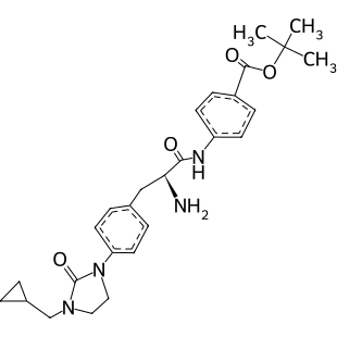 CC(C)(C)OC(=O)c1ccc(NC(=O)[C@@H](N)Cc2ccc(N3CCN(CC4CC4)C3=O)cc2)cc1